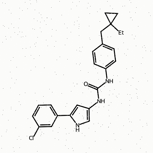 CCC1(Cc2ccc(NC(=O)Nc3c[nH]c(-c4cccc(Cl)c4)c3)cc2)CC1